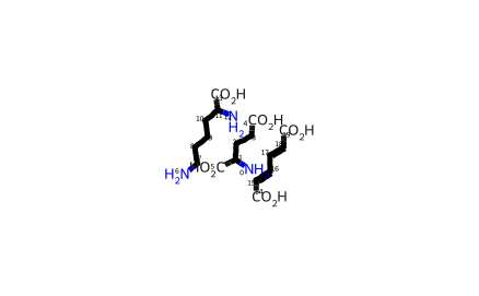 NC(CCC(=O)O)C(=O)O.NCCCCC(N)C(=O)O.O=C(O)/C=C/C=C/C(=O)O